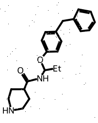 CCC(NC(=O)C1CCNCC1)Oc1ccc(Cc2ccccc2)cc1